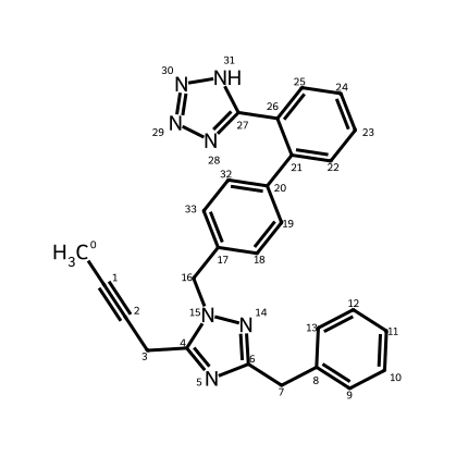 CC#CCc1nc(Cc2ccccc2)nn1Cc1ccc(-c2ccccc2-c2nnn[nH]2)cc1